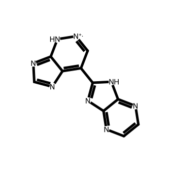 C1=NC2=C(c3nc4nccnc4[nH]3)C=[N+]NC2=N1